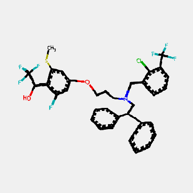 CSc1cc(OCCCN(Cc2cccc(C(F)(F)F)c2Cl)CC(c2ccccc2)c2ccccc2)cc(F)c1C(O)C(F)(F)F